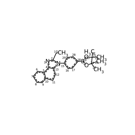 CCc1nc2c3ccccc3ccc2n1-c1ccc(B2OC(C)(C)C(C)(C)O2)cc1